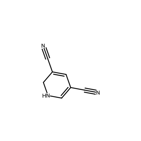 N#CC1=CNCC(C#N)=C1